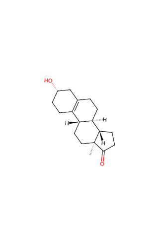 C[C@]12CC[C@@H]3C4=C(CC[C@H]3[C@@H]1CCC2=O)C[C@@H](O)CC4